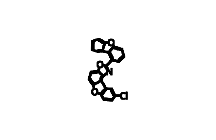 Clc1ccc2oc3ccc4oc(-c5cccc6oc7ccccc7c56)nc4c3c2c1